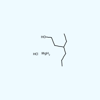 CCCC(CC)CCO.Cl.[MgH2]